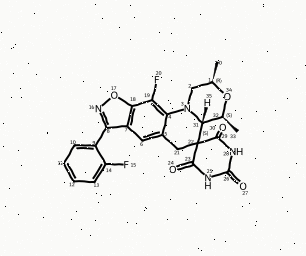 C[C@@H]1CN2c3c(cc4c(-c5ccccc5F)noc4c3F)CC3(C(=O)NC(=O)NC3=O)[C@H]2[C@H](C)O1